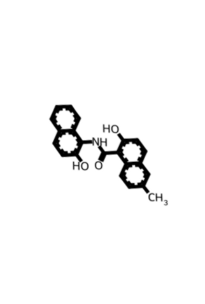 Cc1ccc2c(C(=O)Nc3c(O)ccc4ccccc34)c(O)ccc2c1